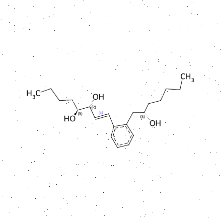 CCCCC[C@H](O)Cc1ccccc1/C=C/[C@@H](O)[C@@H](O)CCCC